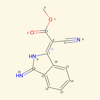 COC(=O)/C(C#N)=C1\NC(=N)c2ccccc21